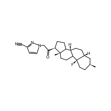 C[C@H]1CC[C@]2(F)C3CC[C@@]4(C)C(CC[C@@H]4C(=O)Cn4ccc(C#N)n4)[C@@H]3CC[C@@H]2C1